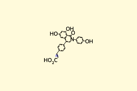 O=C(O)/C=C/c1ccc(-c2cn(-c3ccc(O)cc3)c(=O)c3c(O)cc(O)cc23)cc1